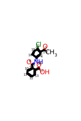 CC(=O)c1cc(NC(=O)c2ccccc2C(=O)O)ccc1Cl